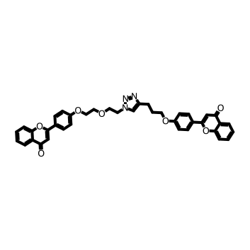 O=c1cc(-c2ccc(OCCCc3cn(CCOCCOc4ccc(-c5cc(=O)c6ccccc6o5)cc4)nn3)cc2)oc2ccccc12